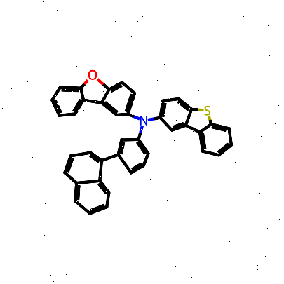 c1cc(-c2cccc3ccccc23)cc(N(c2ccc3oc4ccccc4c3c2)c2ccc3sc4ccccc4c3c2)c1